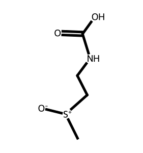 C[S+]([O-])CCNC(=O)O